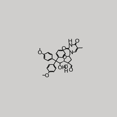 COc1ccc(C(c2ccccc2)(c2ccc(OC)cc2)C(O)[C@H]2O[C@@H](n3cc(C)c(=O)[nH]c3=O)C[C@@]2(O)C=O)cc1